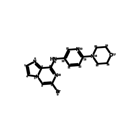 Brc1cn2ccnc2c(Nc2ccc(N3CCOCC3)nc2)n1